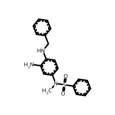 CN(c1ccc(NCc2ccccc2)c(N)c1)S(=O)(=O)c1ccccc1